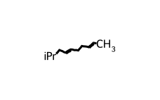 CC=CCCC=CCC(C)C